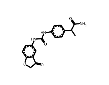 CC(C(N)=O)c1ccc(NC(=O)Nc2ccc3c(c2)C(=O)CO3)cc1